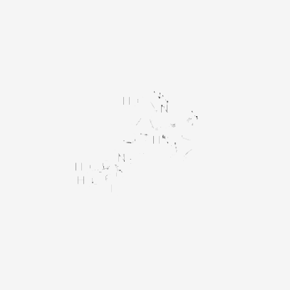 Cc1nnn2c1-c1ccc(C3=CCN(C(=O)OC(C)(C)C)CC3)cc1C(Nc1ccccc1CC#N)CC2